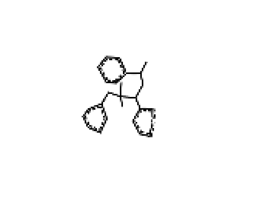 CC(CC(c1ccccc1)C(C)(C)Cc1ccccc1)c1ccccc1